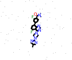 Cc1cnc(N2CCN(c3ncnc4c(-c5ccc(C(=O)N(C)C)c(F)c5)ccc(F)c34)CC2)nc1